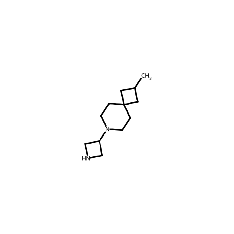 CC1CC2(CCN(C3CNC3)CC2)C1